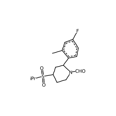 Cc1cc(F)ccc1C1CC(S(=O)(=O)C(C)C)CCN1C=O